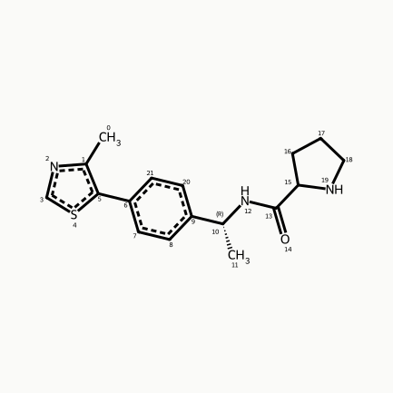 Cc1ncsc1-c1ccc([C@@H](C)NC(=O)C2CCCN2)cc1